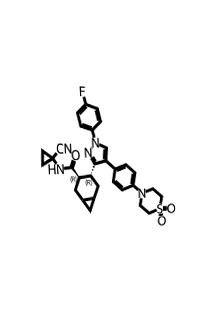 N#CC1(NC(=O)[C@@H]2CC3CC3C[C@H]2c2nn(-c3ccc(F)cc3)cc2-c2ccc(N3CCS(=O)(=O)CC3)cc2)CC1